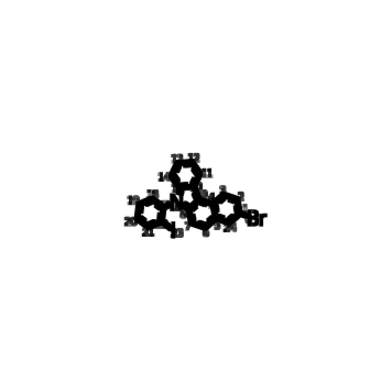 Brc1ccc2c(ccc3c2c2ccccc2n3-c2ccccc2I)c1